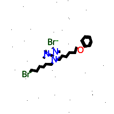 CN(C)C(N(C)C)=[N+](CCCCCCBr)CCCCCCOc1ccccc1.[Br-]